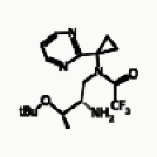 C[C@@H](OC(C)(C)C)[C@@H](N)CN(C(=O)C(F)(F)F)C1(c2ncccn2)CC1